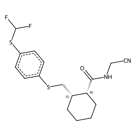 N#CCNC(=O)[C@@H]1CCCC[C@@H]1CSc1ccc(SC(F)F)cc1